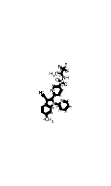 Cc1ccc2c(C#N)c(-c3ccc(S(=O)(=O)N[C@@H](C)C(F)(F)F)cn3)n(-c3ccccn3)c2c1